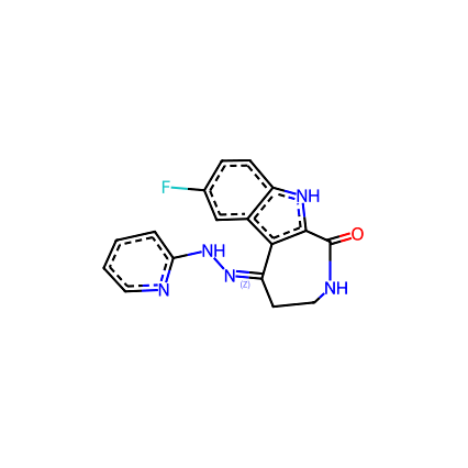 O=C1NCC/C(=N/Nc2ccccn2)c2c1[nH]c1ccc(F)cc21